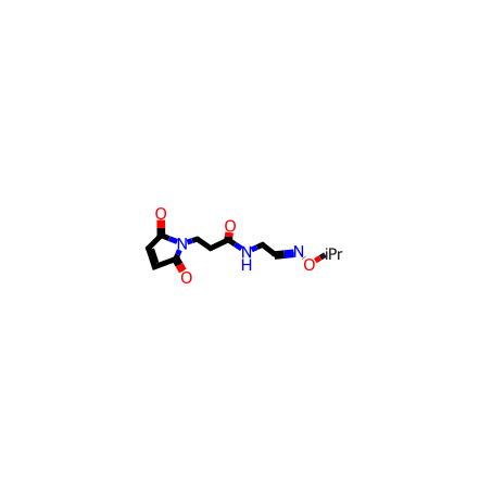 CC(C)O/N=C/CNC(=O)CCN1C(=O)C=CC1=O